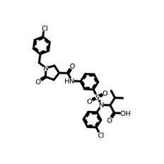 CC(C)C(C(=O)O)N(c1cccc(Cl)c1)S(=O)(=O)c1cccc(NC(=O)C2CC(=O)N(Cc3ccc(Cl)cc3)C2)c1